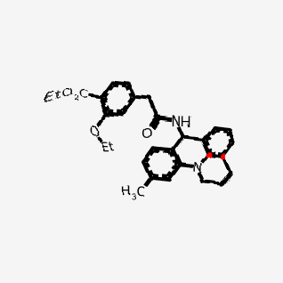 CCOC(=O)c1ccc(CC(=O)NC(c2ccccc2)c2ccc(C)cc2N2CCCCC2)cc1OCC